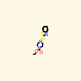 CCOC(=O)N1CCN(SSc2nc3ccccc3s2)CC1